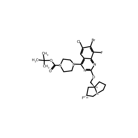 CC(C)(C)OC(=O)N1CCN(c2nc(OC[C@@]34CCCN3C[C@H](F)C4)nc3c(F)c(Br)c(Cl)cc23)CC1